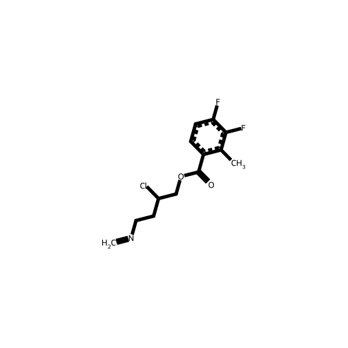 C=NCCC(Cl)COC(=O)c1ccc(F)c(F)c1C